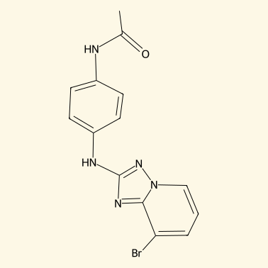 CC(=O)Nc1ccc(Nc2nc3c(Br)cccn3n2)cc1